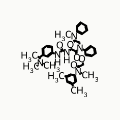 Cc1cc(C)cc(N(C)C(=O)COc2ccccc2N(CC(=O)N(C)c2ccccc2)C(=O)CNC(=O)Nc2cccc(C(C)N(C)C)c2)c1